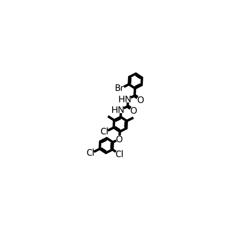 Cc1cc(Oc2ccc(Cl)cc2Cl)c(Cl)c(C)c1NC(=O)NC(=O)c1ccccc1Br